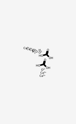 O.O.O=C(O)O.O=C(O)O.[Ca+2].[Ca+2].[Ca+2].[Ca+2].[Ca+2].[O-2].[O-2]